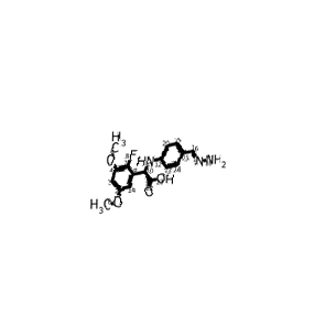 COc1cc(OC)c(F)c(C(Nc2ccc(C=NN)cc2)C(=O)O)c1